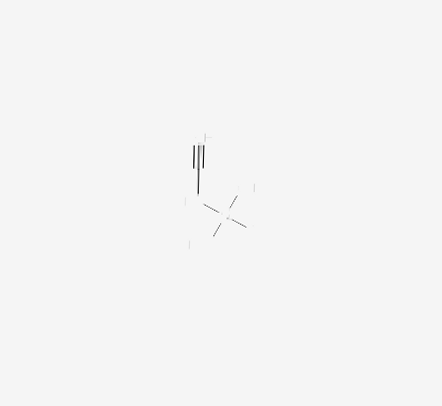 C#CP[Si](C)(C)C